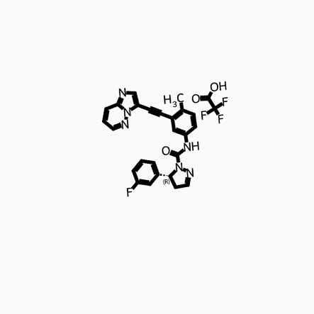 Cc1ccc(NC(=O)N2N=CC[C@@H]2c2cccc(F)c2)cc1C#Cc1cnc2cccnn12.O=C(O)C(F)(F)F